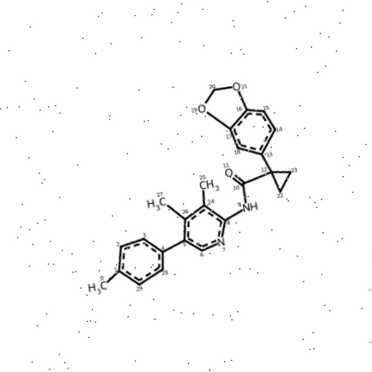 Cc1ccc(-c2cnc(NC(=O)C3(c4ccc5c(c4)OCO5)CC3)c(C)c2C)cc1